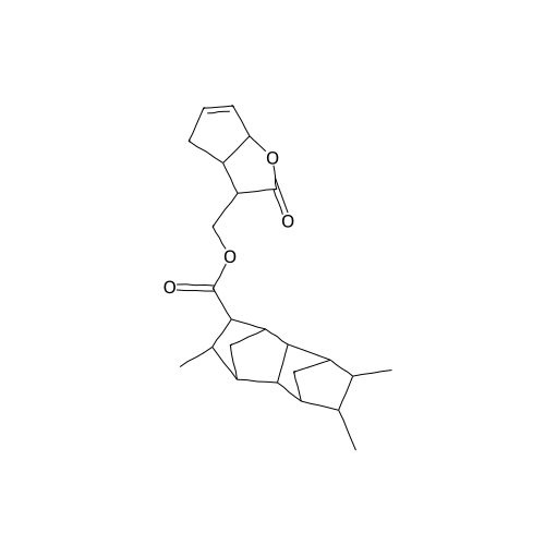 CC1C(C)C2CC1C1C3CC(C(C(=O)OCC4C(=O)OC5C=CCC54)C3C)C21